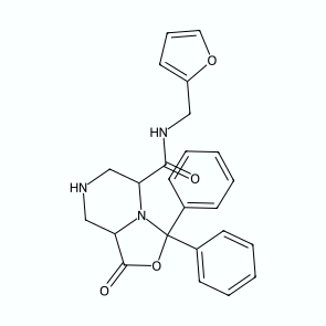 O=C(NCc1ccco1)C1CNCC2C(=O)OC(c3ccccc3)(c3ccccc3)N12